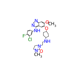 COc1cc2ncnc(Nc3ccc(F)c(Cl)c3)c2cc1OC1CCC(NCCN2CCCN(C)C2=O)CC1